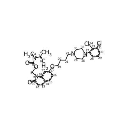 C=C(C)N(C)C(=O)OCn1c(=O)ccc2ccc(OCCCCN3CCN(c4cccc(Cl)c4Cl)CC3)cc21